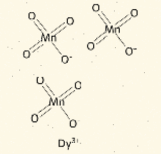 [Dy+3].[O]=[Mn](=[O])(=[O])[O-].[O]=[Mn](=[O])(=[O])[O-].[O]=[Mn](=[O])(=[O])[O-]